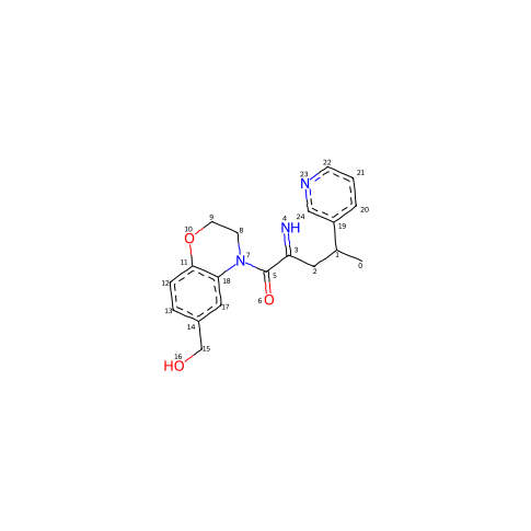 CC(CC(=N)C(=O)N1CCOc2ccc(CO)cc21)c1cccnc1